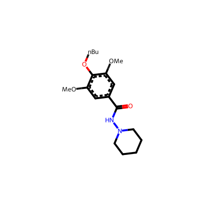 CCCCOc1c(OC)cc(C(=O)NN2CCCCC2)cc1OC